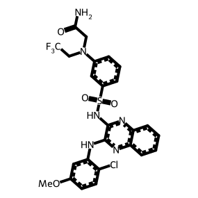 COc1ccc(Cl)c(Nc2nc3ccccc3nc2NS(=O)(=O)c2cccc(N(CC(N)=O)CC(F)(F)F)c2)c1